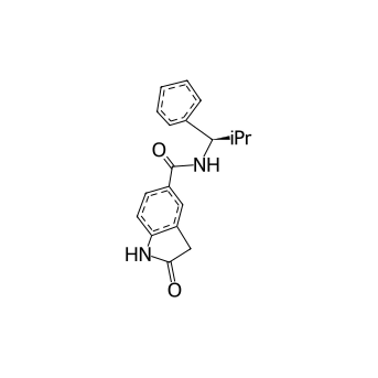 CC(C)[C@@H](NC(=O)c1ccc2c(c1)CC(=O)N2)c1ccccc1